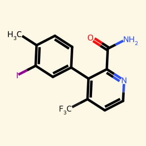 Cc1ccc(-c2c(C(F)(F)F)ccnc2C(N)=O)cc1I